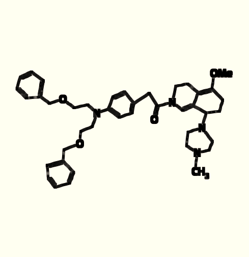 COC1=C2CCN(C(=O)Cc3ccc(N(CCOCc4ccccc4)CCOCc4ccccc4)cc3)C=C2C(N2CCN(C)CC2)CC1